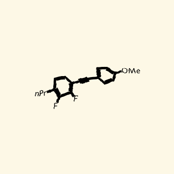 CCCc1ccc(C#Cc2ccc(OC)cc2)c(F)c1F